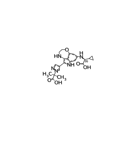 CC(C)(C(=O)O)n1cc(-c2[nH]c3cc(N[C@H](C(=O)O)C4CC4)cc4c3c2NCCO4)cn1